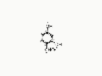 O=[C]c1ccc(O)cc1O